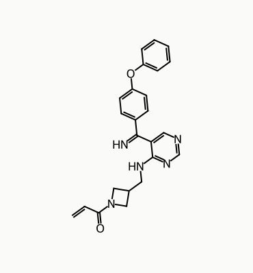 C=CC(=O)N1CC(CNc2ncncc2C(=N)c2ccc(Oc3ccccc3)cc2)C1